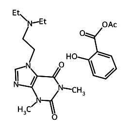 CC(=O)OC(=O)c1ccccc1O.CCN(CC)CCn1cnc2c1c(=O)n(C)c(=O)n2C